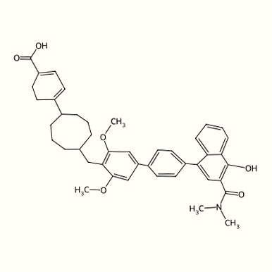 COc1cc(-c2ccc(-c3cc(C(=O)N(C)C)c(O)c4ccccc34)cc2)cc(OC)c1CC1CCCC(C2=CC=C(C(=O)O)CC2)CCC1